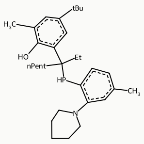 CCCCCC(CC)(Pc1ccc(C)cc1N1CCCCC1)c1cc(C(C)(C)C)cc(C)c1O